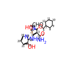 NC(=O)c1c(OCC2CCCCC2)nsc1Nc1ncccc1O.O=CO